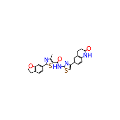 Cc1nc(-c2ccc3c(c2)OCC3)sc1C(=O)Nc1nc(-c2ccc3c(c2)CCC(=O)N3)cs1